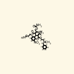 CCCOCCOC(=O)C1=C(COC(N)=O)NC(C)=C(C(=O)OCCN(C)Cc2ccccc2)C1c1cccc([N+](=O)[O-])c1